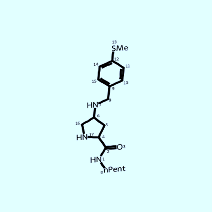 CCCCCNC(=O)C1CC(NCc2ccc(SC)cc2)CN1